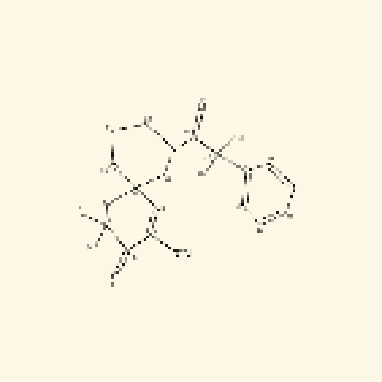 CC1(C)CC2(C=C(C#N)C1=O)CN(C(=O)C(C)(C)c1ccccc1)CCO2